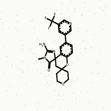 CN1C(=O)C2(CC3(CCOCC3)Oc3ccc(-c4cncc(C(F)(F)F)c4)cc32)N=C1N